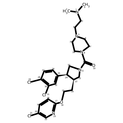 CN(C)CCN1CCN(C(=O)N2C[C@@H](CCOc3ccc(Cl)cn3)[C@@H](c3ccc(Cl)c(Cl)c3)C2)CC1